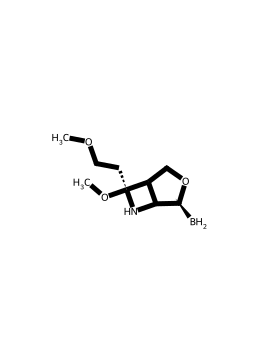 B[C@@H]1OCC2C1N[C@@]2(CCOC)OC